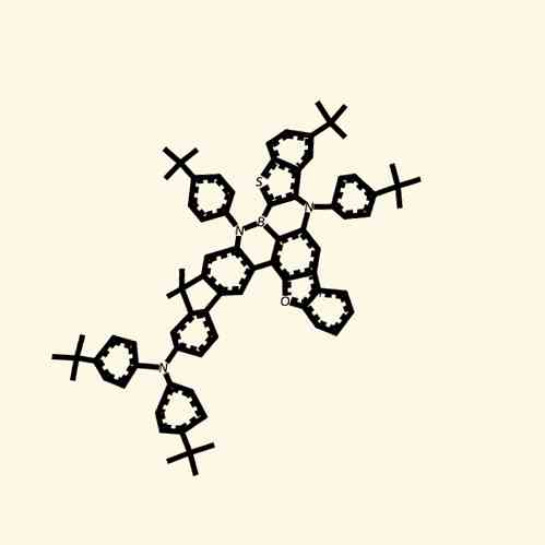 CC(C)(C)c1ccc(N2B3c4sc5ccc(C(C)(C)C)cc5c4N(c4ccc(C(C)(C)C)cc4)c4cc5c(oc6ccccc65)c(c43)-c3cc4c(cc32)C(C)(C)c2cc(N(c3ccc(C(C)(C)C)cc3)c3ccc(C(C)(C)C)cc3)ccc2-4)cc1